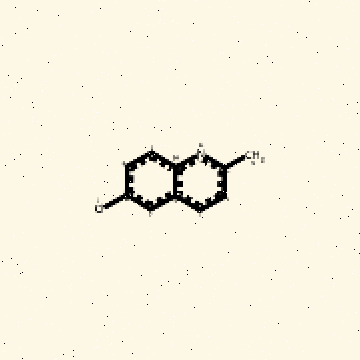 Cc1c[c]c2cc(Cl)ccc2n1